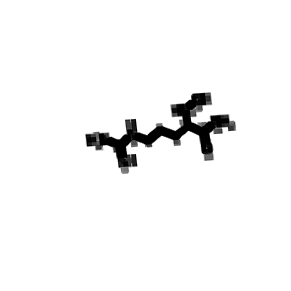 N=C(N)NCCC[C@@H](NO)C(N)=O